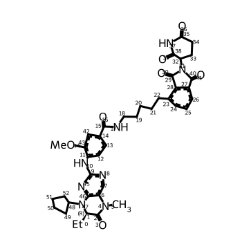 CC[C@@H]1C(=O)N(C)c2cnc(Nc3ccc(C(=O)NCCCCCc4cccc5c4C(=O)N(C4CCC(=O)NC4=O)C5=O)cc3OC)nc2N1C1CCCC1